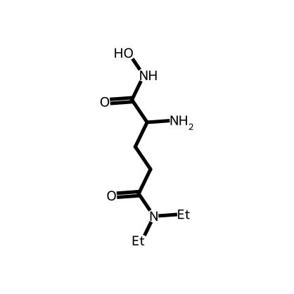 CCN(CC)C(=O)CCC(N)C(=O)NO